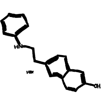 Br.Oc1ccc2cc(CCNc3ccccc3)ccc2c1